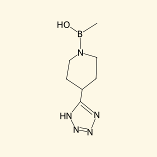 CB(O)N1CCC(c2nnn[nH]2)CC1